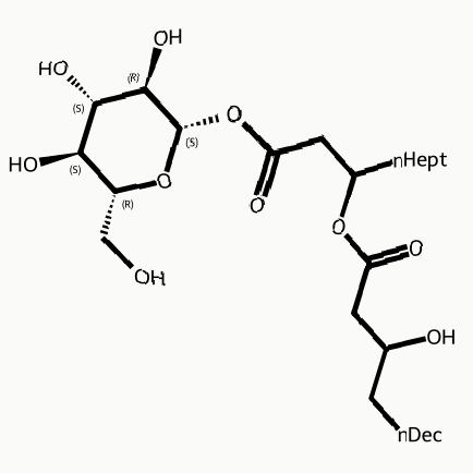 CCCCCCCCCCCC(O)CC(=O)OC(CCCCCCC)CC(=O)O[C@@H]1O[C@H](CO)[C@@H](O)[C@H](O)[C@H]1O